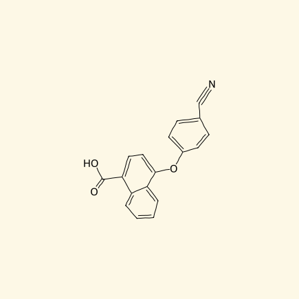 N#Cc1ccc(Oc2ccc(C(=O)O)c3ccccc23)cc1